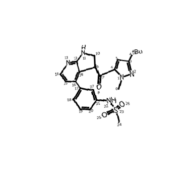 Cn1nc(C(C)(C)C)cc1C(=O)C1CNc2nccc(-c3cccc(NS(C)(=O)=O)c3)c21